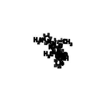 CC#CCn1c(N2CCCC(N)C2)nc2c1c(=O)n(CS(=O)(=O)Nc1ccccn1)c(=O)n2C